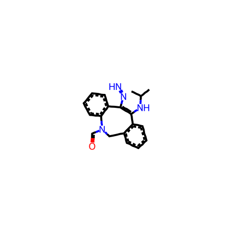 CC(C)N/C1=C(\N=N)c2ccccc2N(C=O)Cc2ccccc21